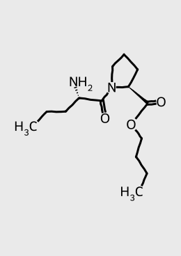 CCCCOC(=O)[C@@H]1CCCN1C(=O)[C@@H](N)CCC